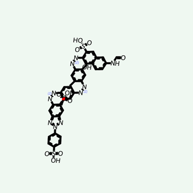 Cc1cc(/N=N\c2c(S(=O)(=O)O)cc3cc(NC=O)ccc3c2O)c(C)cc1/N=N\c1ccc(/N=N\c2cc3nn(-c4ccc(S(=O)(=O)O)cc4)nc3cc2S(=O)(=O)O)c(C)c1